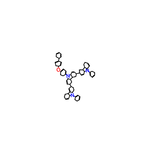 C1=CCCC(N2C3CCC(C4C=CC5C(C4)C4CC(C6C=CC7C(C6)C6CCC=CC6N7C6=CC=CCC6)C=CC4N5C4=CC=C(OC5C=CC(C6C=CC=CC6)=CC5)CC4)C=C3C3CCC=CC32)=C1